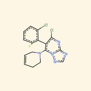 Fc1cccc(Cl)c1-c1c(Cl)nc2ncnn2c1N1CC=CCC1